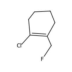 FCC1=C(Cl)CCCC1